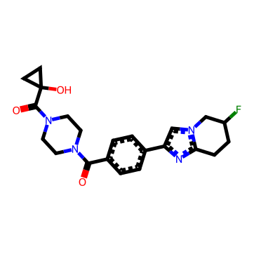 O=C(c1ccc(-c2cn3c(n2)CCC(F)C3)cc1)N1CCN(C(=O)C2(O)CC2)CC1